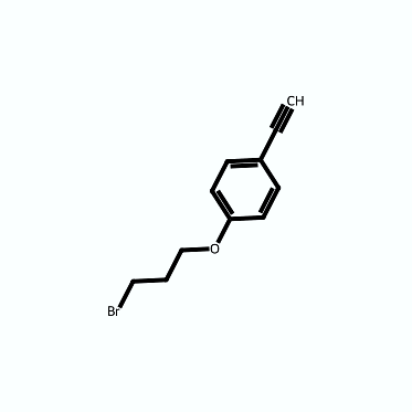 C#Cc1ccc(OCCCBr)cc1